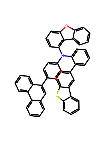 c1ccc(N(c2ccc(-c3cc4ccccc4c4ccccc34)cc2)c2cccc3oc4ccccc4c23)c(-c2ccc3sc4ccccc4c3c2)c1